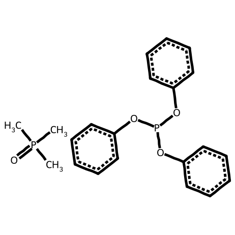 CP(C)(C)=O.c1ccc(OP(Oc2ccccc2)Oc2ccccc2)cc1